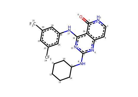 O=c1[nH]ccc2nc(NC3CCCCC3)nc(Nc3cc(C(F)(F)F)cc(C(F)(F)F)c3)c12